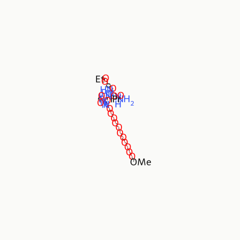 CCC(=O)OCc1ccc(NC(=O)[C@H](CCCNC(N)=O)NC(=O)[C@@H](NC(=O)C[C@H](c2cn(CCOCCOCCOCCOCCOCCOCCOCCOCCOCCOCCOCCOC)nn2)N2C(=O)C=CC2=O)C(C)C)cc1